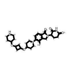 O=C1CCC(N2Cc3c(ccc(N4CCC(OC5CC(OC6CCNCC6)C5)CC4)c3F)C2=O)C(=O)N1